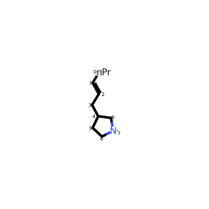 CCC/C=C/CC1CC[N]C1